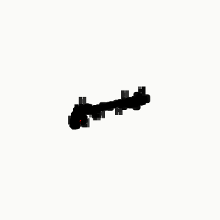 N=N/C(=C\NCCOCCOCCCNCC(=O)Nc1ccc2c(c1)CN(C1CCC(=O)NC1=O)C2=O)c1ccc(Nc2ncc3c(n2)-c2ccc(Cl)cc2C(c2c(F)cccc2F)=NC3)cc1